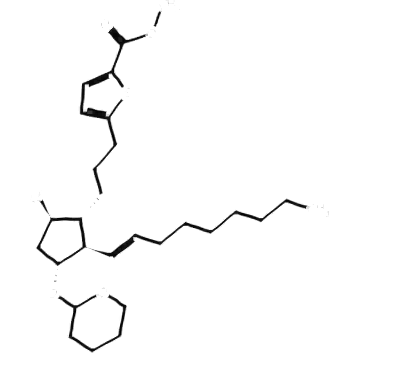 CCCCCCCC=C[C@@H]1[C@@H](CCCc2ccc(C(=O)OC)s2)[C@H](Cl)C[C@H]1OC1CCCCO1